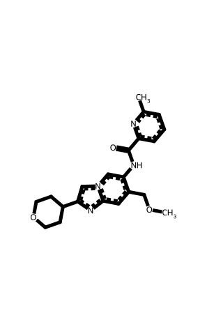 COCc1cc2nc(C3CCOCC3)cn2cc1NC(=O)c1cccc(C)n1